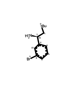 CC(C)(C)C[C@H](N)c1cccc(Br)c1